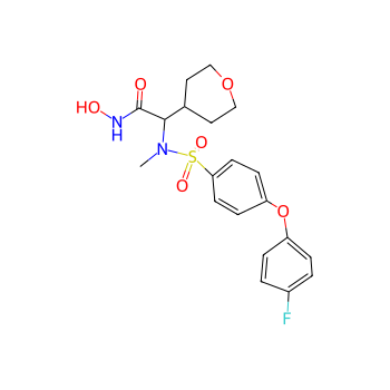 CN(C(C(=O)NO)C1CCOCC1)S(=O)(=O)c1ccc(Oc2ccc(F)cc2)cc1